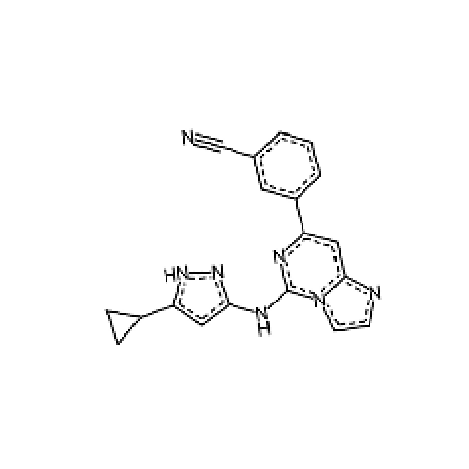 N#Cc1cccc(-c2cc3nccn3c(Nc3cc(C4CC4)[nH]n3)n2)c1